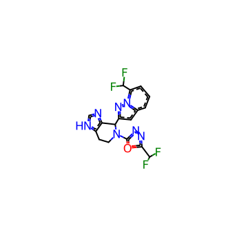 FC(F)c1nnc(N2CCc3[nH]cnc3C2c2cc3cccc(C(F)F)n3n2)o1